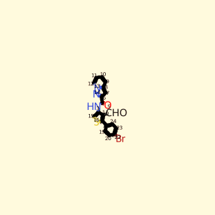 O=Cc1c(NC(=O)c2cc3ccccn3n2)csc1-c1ccc(Br)cc1